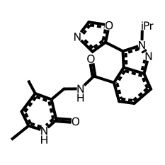 Cc1cc(C)c(CNC(=O)c2cccc3nn(C(C)C)c(-c4cnco4)c23)c(=O)[nH]1